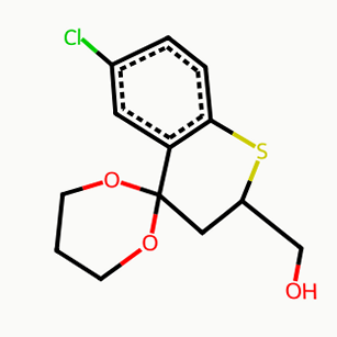 OCC1CC2(OCCCO2)c2cc(Cl)ccc2S1